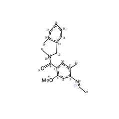 C/C=N/c1cc(OC)c(C(=O)N(C)Cc2ccccc2C)cc1C